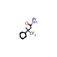 CC(C)NC(=O)CC(C)(c1ccccc1)C(F)(F)F